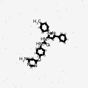 Cc1ccc(-n2nc(-c3ccccc3)cc2NC(=O)Nc2ccc(Oc3cc(N)ncn3)cc2)cc1